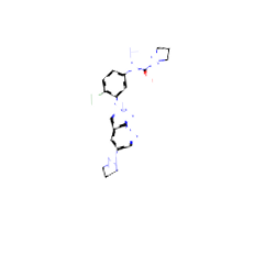 O=C(Nc1ccc(F)c(-n2cc3cc(N4CCC4)cnc3n2)c1)N1CCC1